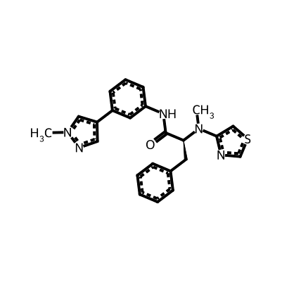 CN(c1cscn1)[C@@H](Cc1ccccc1)C(=O)Nc1cccc(-c2cnn(C)c2)c1